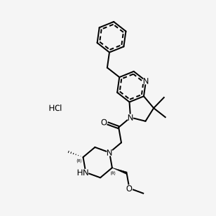 COC[C@H]1CN[C@H](C)CN1CC(=O)N1CC(C)(C)c2ncc(Cc3ccccc3)cc21.Cl